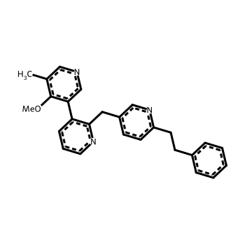 COc1c(C)cncc1-c1cccnc1Cc1ccc(CCc2ccccc2)nc1